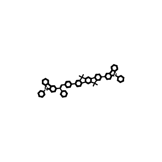 CC1(C)c2cc(-c3ccc(/C=C(\c4ccccc4)c4ccc5c(c4)c4ccccc4n5-c4ccccc4)cc3)ccc2-c2cc3c(cc21)-c1ccc(-c2ccc4c(c2)c2ccccc2n4-c2ccccc2)cc1C3(C)C